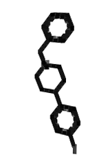 Ic1ccc(C2CCN(Cc3ccccc3)CC2)cc1